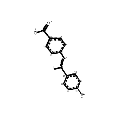 C/C(=C\c1ccc(C(=O)Cl)cc1)c1ccc(C(C)C)cc1